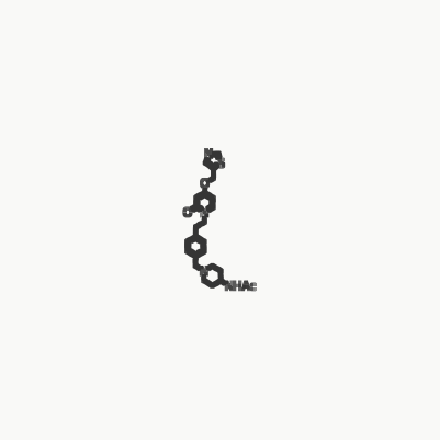 CC(=O)NC1CCN(Cc2ccc(CCn3ccc(OCc4cncs4)cc3=O)cc2)CC1